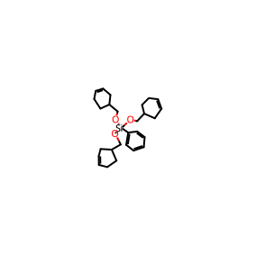 C1=CCC(CO[Si](OCC2CC=CCC2)(OCC2CC=CCC2)c2ccccc2)CC1